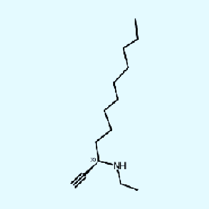 C#C[C@@H](CCCCCCCCC)NCC